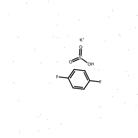 Fc1ccc(F)cc1.O=[S-](=O)O.[K+]